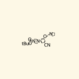 CC(C)(C)OC(=O)N1CCN(c2cc(C#N)cc(OCCN3CCCC3)c2)CC1